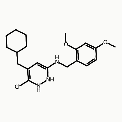 COc1ccc(CNC2=CC(CC3CCCCC3)=C(Cl)NN2)c(OC)c1